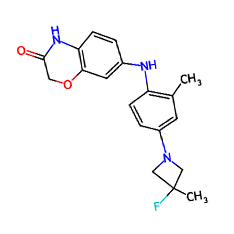 Cc1cc(N2CC(C)(F)C2)ccc1Nc1ccc2c(c1)OCC(=O)N2